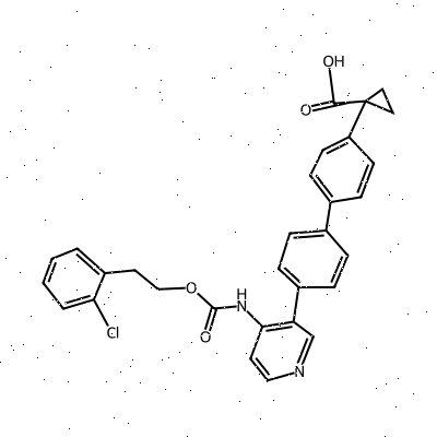 O=C(Nc1ccncc1-c1ccc(-c2ccc(C3(C(=O)O)CC3)cc2)cc1)OCCc1ccccc1Cl